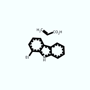 C=CC(=O)O.CCc1cccc2c1[nH]c1ccccc12